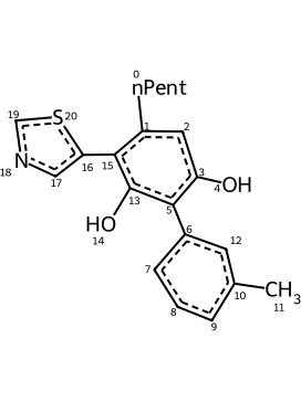 CCCCCc1cc(O)c(-c2cccc(C)c2)c(O)c1-c1cncs1